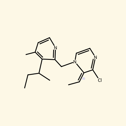 C/C=C1/C(Cl)=NC=CN1Cc1nccc(C)c1C(C)CC